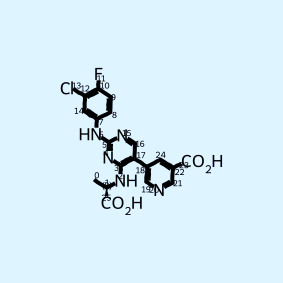 C[C@@H](Nc1nc(Nc2ccc(F)c(Cl)c2)ncc1-c1cncc(C(=O)O)c1)C(=O)O